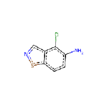 Nc1ccc2sncc2c1Cl